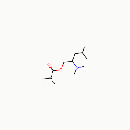 C=C(C)C(=O)OCC(CC(C)C)N(C)C